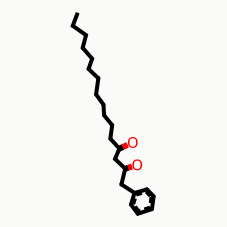 CCCCCCCCCCCCC(=O)CC(=O)Cc1ccccc1